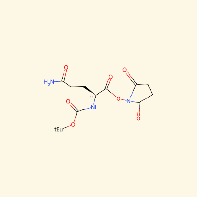 CC(C)(C)OC(=O)N[C@@H](CCC(N)=O)C(=O)ON1C(=O)CCC1=O